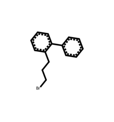 BrCCCc1ccccc1-c1ccccc1